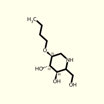 CCCCO[C@H]1CNC(CO)[C@@H](O)[C@@H]1O